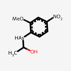 COc1cc([N+](=O)[O-])ccc1[AsH]C(C)O